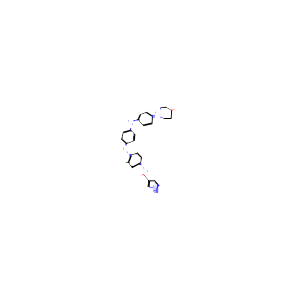 Cn1ccc(C(=O)Nc2ccc(Nc3ccc(Nc4ccc(N5CCC(O)CC5)cc4)cc3)c(F)c2)c1